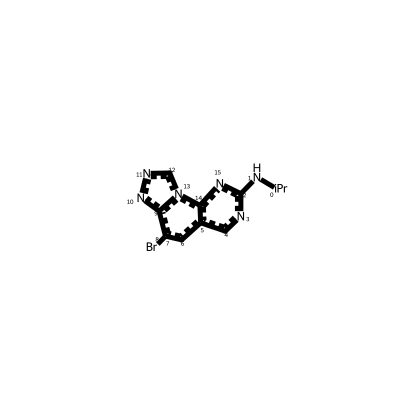 CC(C)Nc1ncc2cc(Br)c3nncn3c2n1